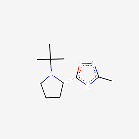 Cc1noc([C@@H]2CCCN2C(C)(C)C)n1